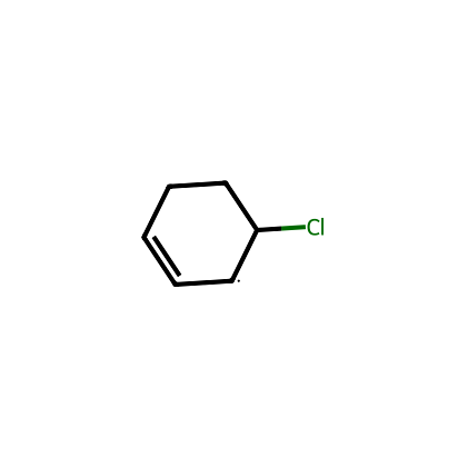 ClC1[CH]C=CCC1